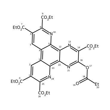 CCOC(=O)c1cc2c3cc(C(=O)OCC)c(C(=O)OCC)nc3c3nc(C(=O)OCC)c(OC(=O)CC)nc3c2nc1C(=O)OCC